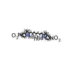 CCCCN1C(=CC=CC=CC=CC2=[N+](CCCC)c3ccc([N+](=O)[O-])cc3C2(C)C)C(C)(C)c2cc([N+](=O)[O-])ccc21